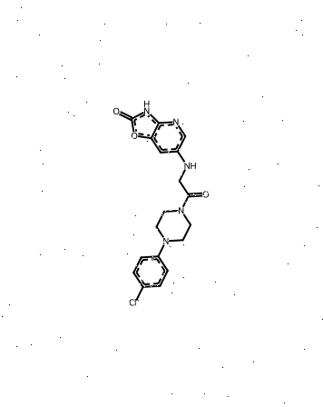 O=C(CNc1cnc2[nH]c(=O)oc2c1)N1CCN(c2ccc(Cl)cc2)CC1